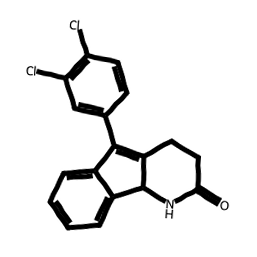 O=C1CCC2=C(c3ccc(Cl)c(Cl)c3)c3ccccc3C2N1